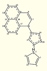 C1=C[SH](c2cc(C3C=Cc4cccc5cccc3c45)cs2)C=C1